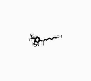 O=[N+]([O-])c1ccc(NCCCCCCO)c2nonc12